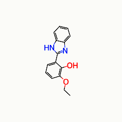 CCOc1cccc(-c2nc3ccccc3[nH]2)c1O